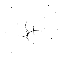 ClCC(=C(Cl)Cl)C(Cl)(Cl)Cl